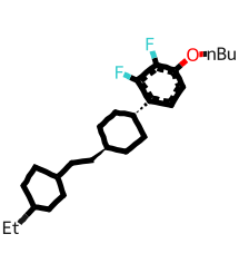 CCCCOc1ccc([C@H]2CC[C@H](CCC3CCC(CC)CC3)CC2)c(F)c1F